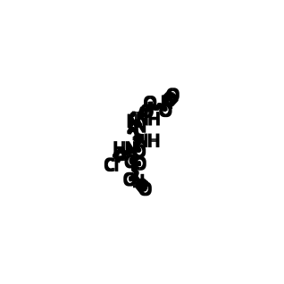 CC[C@H](COC(=O)CCC(=O)N1CCOCC1)Nc1ncc(C)c(-c2c[nH]c(C(=O)N[C@H](COC(=O)CCC(=O)N3CCOCC3)c3cccc(Cl)c3)c2)n1